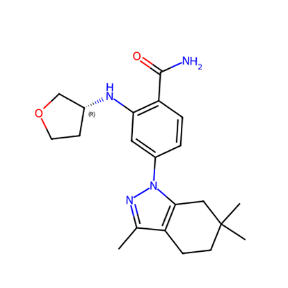 Cc1nn(-c2ccc(C(N)=O)c(N[C@@H]3CCOC3)c2)c2c1CCC(C)(C)C2